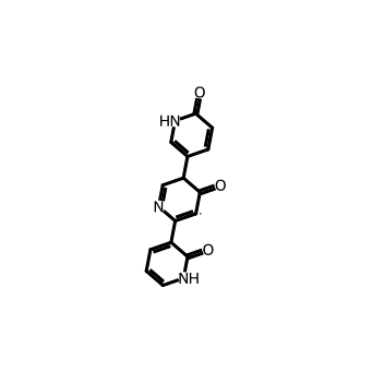 O=C1[C]=C(c2ccc[nH]c2=O)N=CC1c1ccc(=O)[nH]c1